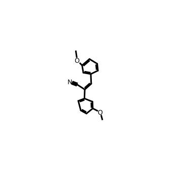 COc1cccc(C=C(C#N)c2cccc(OC)c2)c1